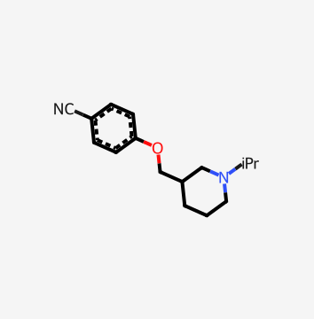 CC(C)N1CCCC(COc2ccc(C#N)cc2)C1